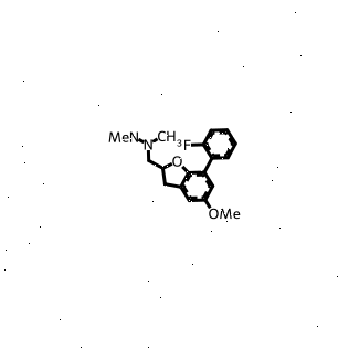 CNN(C)CC1Cc2cc(OC)cc(-c3ccccc3F)c2O1